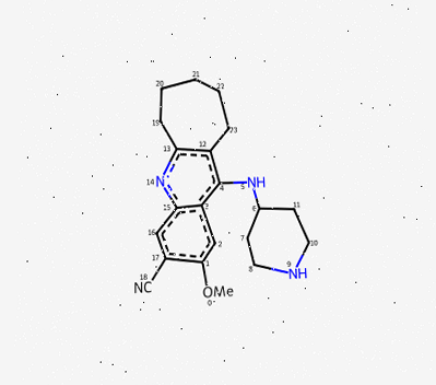 COc1cc2c(NC3CCNCC3)c3c(nc2cc1C#N)CCCCC3